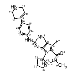 CN(C)C(=O)c1c(F)c2cnc(Nc3ccc(C4=CCNCC4)cn3)nc2n1C1CCCC1